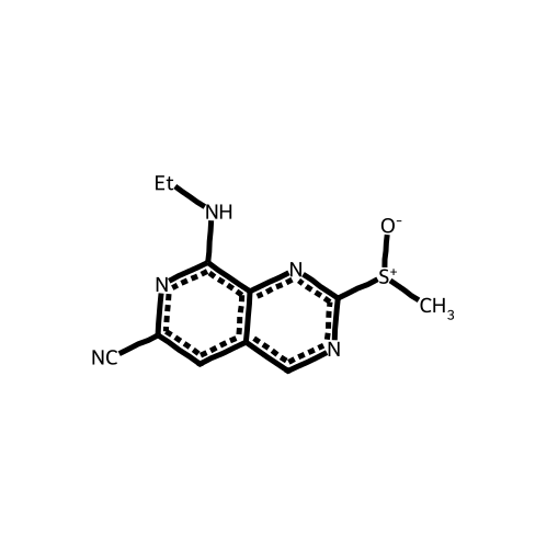 CCNc1nc(C#N)cc2cnc([S+](C)[O-])nc12